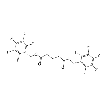 O=C(CCCC(=O)OCc1c(F)c(F)c(F)c(F)c1F)OCc1c(F)c(F)c(F)c(F)c1F